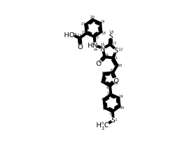 CSc1ccc(-c2ccc(/C=C3/SC(=S)N(Nc4ccccc4C(=O)O)C3=O)o2)cc1